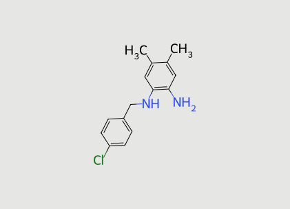 Cc1cc(N)c(NCc2ccc(Cl)cc2)cc1C